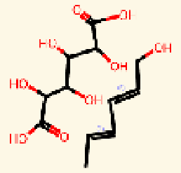 C/C=C/C=C/CO.O=C(O)C(O)C(O)C(O)C(O)C(=O)O